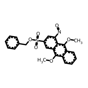 COc1c2ccccc2c(OC)c2c(N=O)cc(S(=O)(=O)OCc3ccccc3)cc12